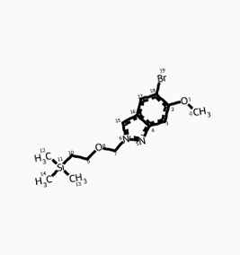 COc1cc2nn(COCC[Si](C)(C)C)cc2cc1Br